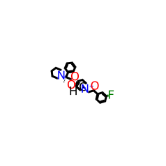 C[C@@](C(=O)O[C@H]1C[N+]2(CC(=O)c3cccc(F)c3)CCC1CC2)(c1ccccc1)N1CCCCC1